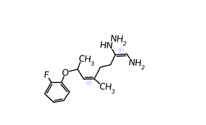 C/C(=C/C(C)Oc1ccccc1F)CC/C(=C\N)NN